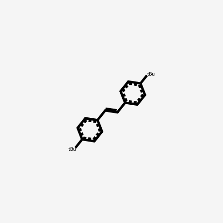 CC(C)(C)c1ccc(C=Cc2ccc(C(C)(C)C)cc2)cc1